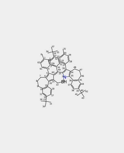 Cc1ccc(C2=C3CCCc4cc(C(C)(C)C)ccc4C3=C3CBn4c(c(-c5ccc(C)cc5)c5c4-c4ccc(C(C)(C)C)cc4CCC5)C(c4ccc(C(C)(C)C)cc4)=C32)cc1